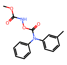 COC(=O)NOC(=O)N(c1ccccc1)c1cccc(C)c1